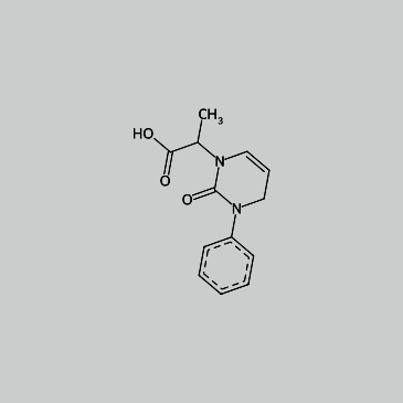 CC(C(=O)O)N1C=CCN(c2ccccc2)C1=O